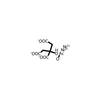 CC(=O)[O-].O=C([O-])CC(O)(CC(=O)[O-])C(=O)[O-].[Ni+2].[Ni+2]